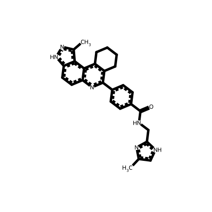 Cc1c[nH]c(CNC(=O)c2ccc(-c3nc4ccc5[nH]nc(C)c5c4c4c3CCCC4)cc2)n1